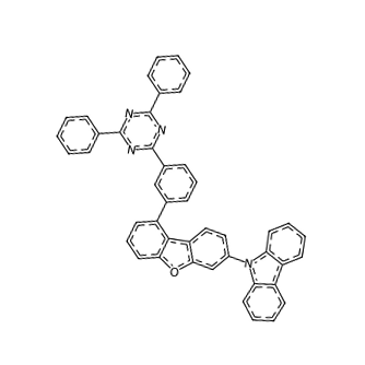 c1ccc(-c2nc(-c3ccccc3)nc(-c3cccc(-c4cccc5oc6cc(-n7c8ccccc8c8ccccc87)ccc6c45)c3)n2)cc1